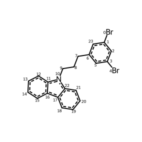 Brc1cc(Br)cc(CCCn2c3ccccc3c3ccccc32)c1